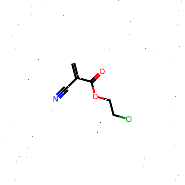 C=C(C#N)C(=O)OCCCl